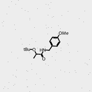 COc1ccc(CNC(=O)C(C)OC(C)(C)C)cc1